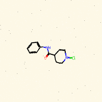 O=C(Nc1ccccc1)C1CCN(Cl)CC1